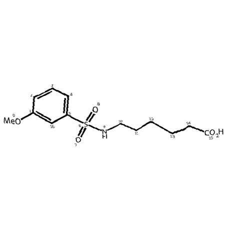 COc1cccc(S(=O)(=O)NCCCCCC(=O)O)c1